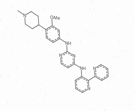 COc1cc(Nc2nccc(Nc3cccnc3-c3ccccn3)n2)ccc1C1CCN(C)CC1